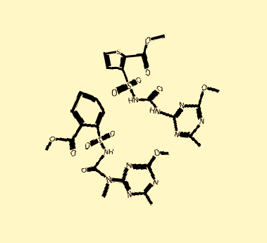 COC(=O)c1ccccc1S(=O)(=O)NC(=O)N(C)c1nc(C)nc(OC)n1.COC(=O)c1sccc1S(=O)(=O)NC(=O)Nc1nc(C)nc(OC)n1